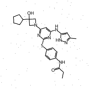 CCC(=O)Nc1ccc(Sc2nc(Nc3cc(C)n[nH]3)cc(N3CC(O)(C4CCCC4)C3)n2)cc1